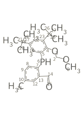 COCOc1c(Pc2ccc(C)cc2C=O)cc(C(C)(C)C)cc1C(C)(C)C